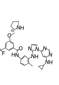 Cc1ccc(NC(=O)c2cc(OC[C@@H]3CCCN3)cc(C(F)(F)F)c2)cc1Nc1nccn1-c1cc(NC2CC2)ncn1